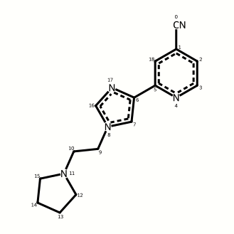 N#Cc1ccnc(-c2cn(CCN3CCCC3)cn2)c1